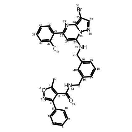 Cc1onc(-c2ccccc2)c1C(=O)NCc1cccc(CNc2cc(-c3ccccc3Cl)nc3c(Br)cnn23)c1